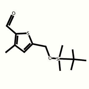 Cc1cc(CO[Si](C)(C)C(C)(C)C)sc1C=O